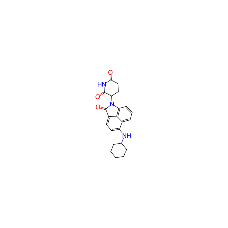 O=C1CCC(N2C(=O)c3ccc(NC4CCCCC4)c4cccc2c34)C(=O)N1